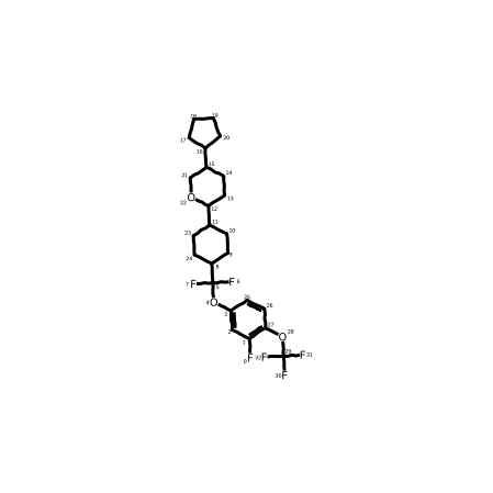 Fc1cc(OC(F)(F)C2CCC(C3CCC(C4CCCC4)CO3)CC2)ccc1OC(F)(F)F